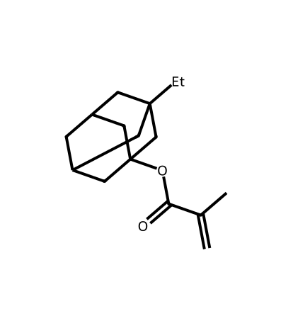 C=C(C)C(=O)OC12CC3CC(CC(CC)(C3)C1)C2